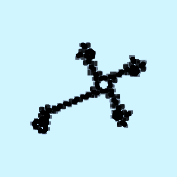 CC(=O)Oc1cccc(C(=O)NCCNC(=O)CN2CCN(CC(=O)NCCCOCCOCCOCCCNC(=O)c3cc4cc5c6c(c4oc3=O)CCCN6CCC5)CCN(CC(=O)NCCNC(=O)c3cccc(OC(C)=O)c3OC(C)=O)CCN(CC(=O)NCCNC(=O)c3cccc(OC(C)=O)c3OC(C)=O)CC2)c1OC(C)=O